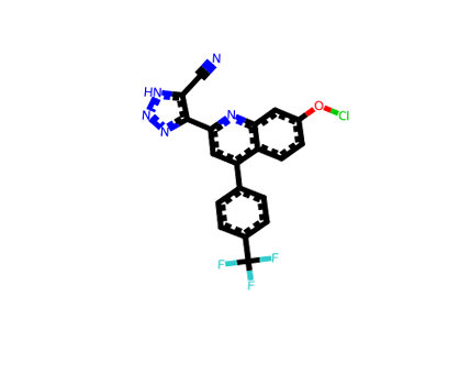 N#Cc1[nH]nnc1-c1cc(-c2ccc(C(F)(F)F)cc2)c2ccc(OCl)cc2n1